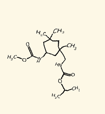 COC(=O)NC1CC(C)(C)CC(C)(CNC(=O)OC(C)C)C1